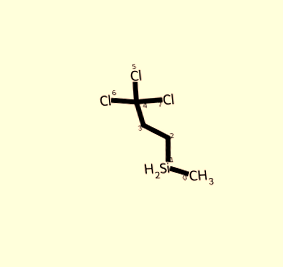 C[SiH2]CCC(Cl)(Cl)Cl